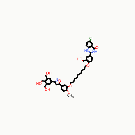 COc1ccc(C2CC(c3cc(CO)c(CO)c(CO)c3)=NO2)cc1OCCCCCCCCCOc1ccc(C2NC(=O)c3cc(Cl)ccc3N2)cc1CO